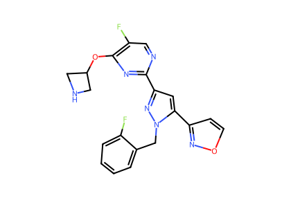 Fc1ccccc1Cn1nc(-c2ncc(F)c(OC3CNC3)n2)cc1-c1ccon1